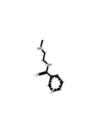 CNCCNC(=O)c1cccnc1